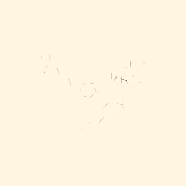 C[C@]12C[C@H](c3ccc(C=CC=CC(=O)O)cc3)C3=C4CCC(=O)C=C4CC[C@H]3[C@@H]1CC[C@@]2(O)C(F)(F)C(F)(F)F